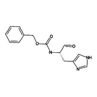 O=C[C@H](Cc1c[nH]cn1)[N]C(=O)OCc1ccccc1